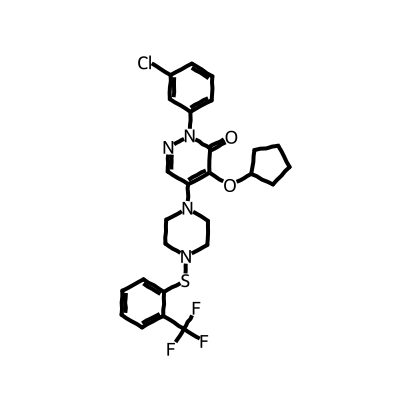 O=c1c(OC2CCCC2)c(N2CCN(Sc3ccccc3C(F)(F)F)CC2)cnn1-c1cccc(Cl)c1